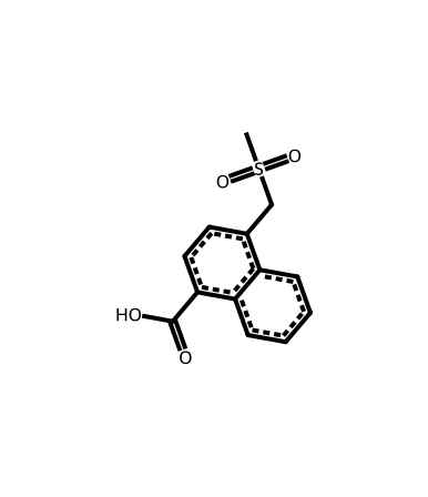 CS(=O)(=O)Cc1ccc(C(=O)O)c2ccccc12